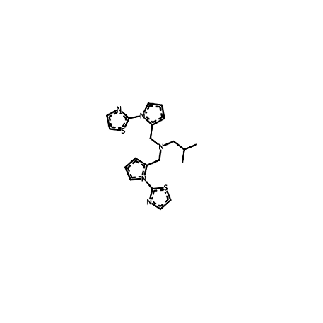 CC(C)CN(Cc1cccn1-c1nccs1)Cc1cccn1-c1nccs1